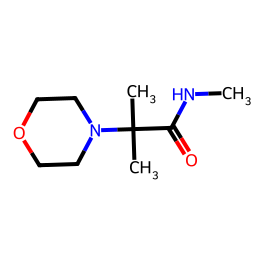 CNC(=O)C(C)(C)N1CCOCC1